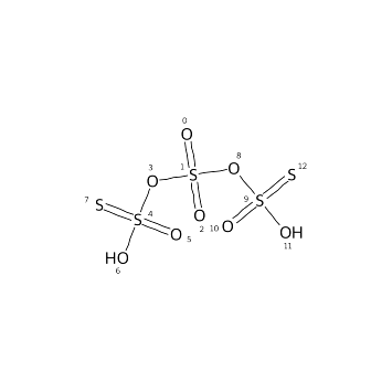 O=S(=O)(OS(=O)(O)=S)OS(=O)(O)=S